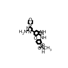 CNS(=O)(=O)c1ccc2c(c1)Nc1n[nH]c3cc(-c4cc(N5CCOCC5)nc(N)n4)cc(c13)O2